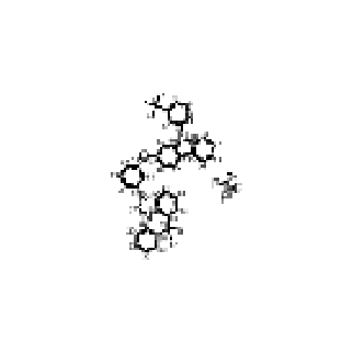 CC(C)(C)c1ccnc(-n2c3ccccc3c3ccc(Oc4cccc(N5CN6c7ccccc7C(C)(C)c7cccc5c76)c4)cc32)c1.F[B-](F)(F)F